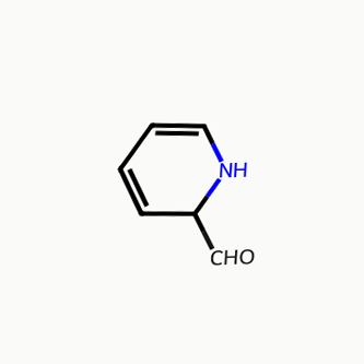 O=CC1C=CC=CN1